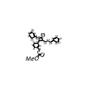 COC(=O)CCc1cccc(C2C(CCCc3ccccc3)C(=O)N2c2ccccc2)c1